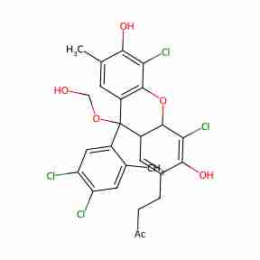 CC(=O)CCC1=CC2C(Oc3c(cc(C)c(O)c3Cl)C2(OCO)c2cc(Cl)c(Cl)cc2C)C(Cl)=C1O